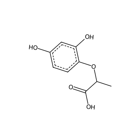 CC(Oc1ccc(O)cc1O)C(=O)O